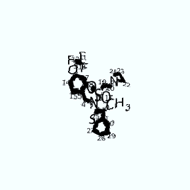 Cc1c(N(Cc2ccc(OC(F)(F)F)cc2)S(=O)(=O)CCN2CCC2)sc2ccccc12